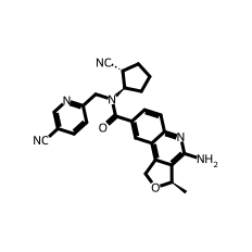 C[C@H]1OCc2c1c(N)nc1ccc(C(=O)N(Cc3ccc(C#N)cn3)[C@@H]3CCC[C@H]3C#N)cc21